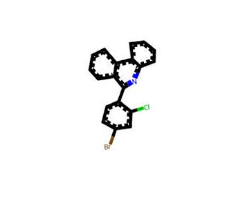 Clc1cc(Br)ccc1-c1nc2ccccc2c2ccccc12